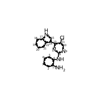 Nc1cc[c]cc1Nc1ncc(Cl)c(-c2c[nH]c3ccccc23)n1